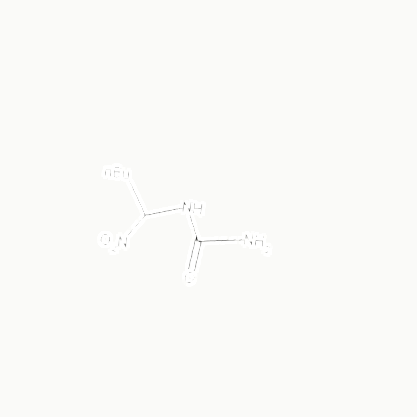 CCCCC(NC(N)=O)[N+](=O)[O-]